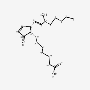 CCCCCC(O)/C=C/[C@H]1C=CC(=O)[C@H]1CCCCCCC(=O)O